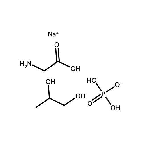 CC(O)CO.NCC(=O)O.O=P([O-])(O)O.[Na+]